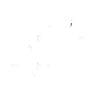 CC[C@@H](O)[C@@H](O)CC1=C2C3=C(O)N=CN2NN3N1